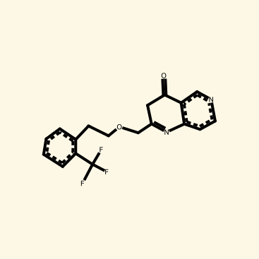 O=C1CC(COCCc2ccccc2C(F)(F)F)=Nc2ccncc21